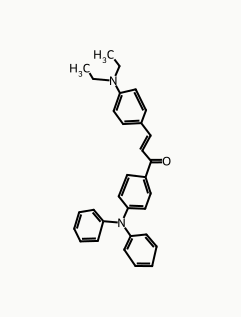 CCN(CC)c1ccc(C=CC(=O)c2ccc(N(c3ccccc3)c3ccccc3)cc2)cc1